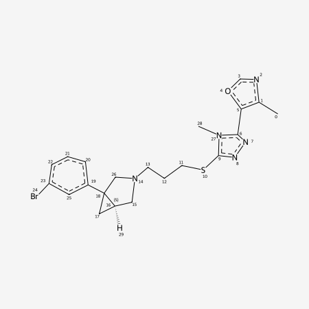 Cc1ncoc1-c1nnc(SCCCN2C[C@H]3CC3(c3cccc(Br)c3)C2)n1C